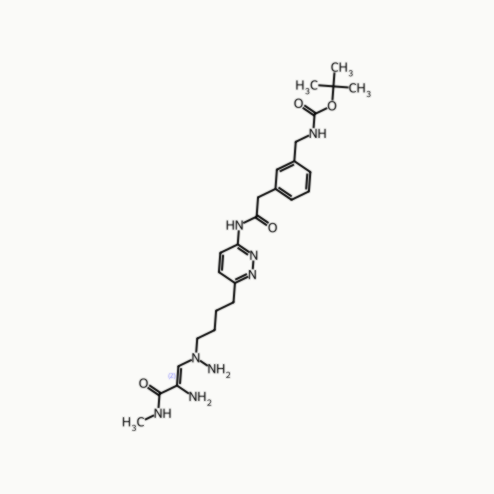 CNC(=O)/C(N)=C/N(N)CCCCc1ccc(NC(=O)Cc2cccc(CNC(=O)OC(C)(C)C)c2)nn1